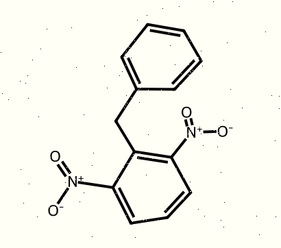 O=[N+]([O-])c1cccc([N+](=O)[O-])c1Cc1ccccc1